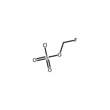 O=S(=O)(Cl)OCF